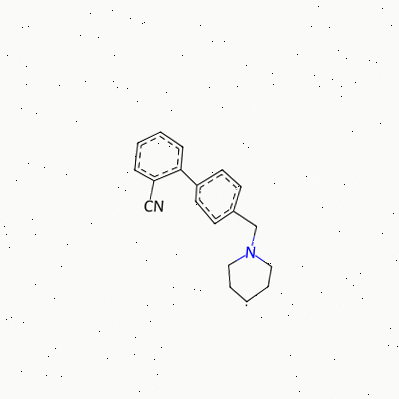 N#Cc1ccccc1-c1ccc(CN2CC[CH]CC2)cc1